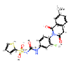 COc1ccc2c(c1)C(=O)N(c1ccc(NC(=O)NS(=O)(=O)c3cccs3)cc1F)C(=O)C2